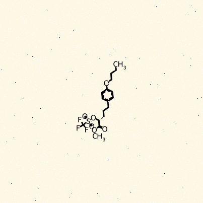 CCCCOc1ccc(CCC[C@@H](OS(=O)(=O)C(F)(F)F)C(=O)OC)cc1